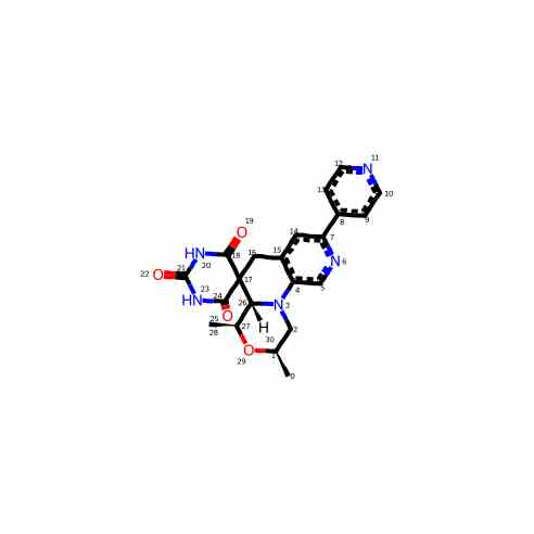 C[C@@H]1CN2c3cnc(-c4ccncc4)cc3CC3(C(=O)NC(=O)NC3=O)[C@H]2[C@H](C)O1